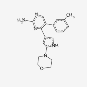 Cc1cccc(-c2cnc(N)nc2-c2c[nH]c(N3CCOCC3)c2)c1